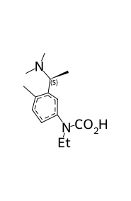 CCN(C(=O)O)c1ccc(C)c([C@H](C)N(C)C)c1